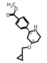 COC(=O)c1ccc([C@@H]2C[C@@H](OCC3CC3)CCN2)cc1